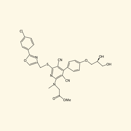 COC(=O)CN(C)c1nc(SCc2coc(-c3ccc(Cl)cc3)n2)c(C#N)c(-c2ccc(OC[C@@H](O)CO)cc2)c1C#N